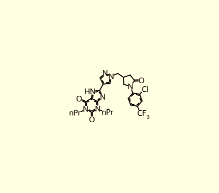 CCCn1c(=O)c2[nH]c(-c3cnn(CC4CC(=O)N(c5ccc(C(F)(F)F)cc5Cl)C4)c3)nc2n(CCC)c1=O